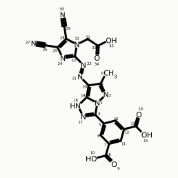 Cc1nn2c(-c3cc(C(=O)O)cc(C(=O)O)c3)n[nH]c2c1N=Nc1nc(C#N)c(C#N)n1CC(=O)O